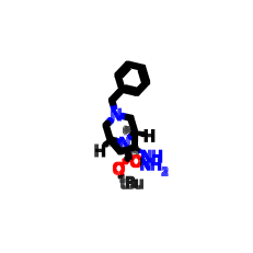 CC(C)(C)OC(=O)N1[C@@H]2C[C@@H](NN)[C@H]1CN(Cc1ccccc1)C2